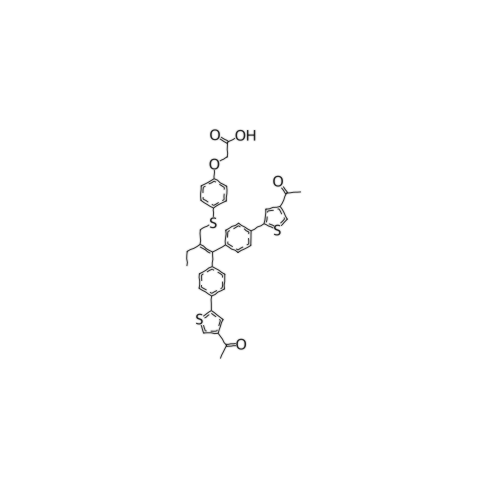 CCC(CSc1ccc(OCC(=O)O)cc1)=C(c1ccc(-c2cc(C(C)=O)cs2)cc1)c1ccc(-c2cc(C(C)=O)cs2)cc1